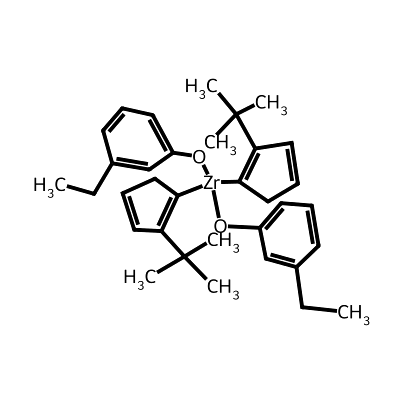 CCc1cccc([O][Zr]([O]c2cccc(CC)c2)([C]2=C(C(C)(C)C)C=CC2)[C]2=C(C(C)(C)C)C=CC2)c1